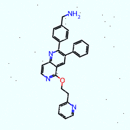 NCc1ccc(-c2nc3ccnc(OCCc4ccccn4)c3cc2-c2ccccc2)cc1